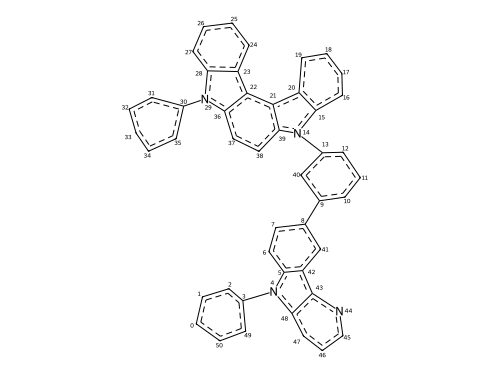 c1ccc(-n2c3ccc(-c4cccc(-n5c6ccccc6c6c7c8ccccc8n(-c8ccccc8)c7ccc65)c4)cc3c3ncccc32)cc1